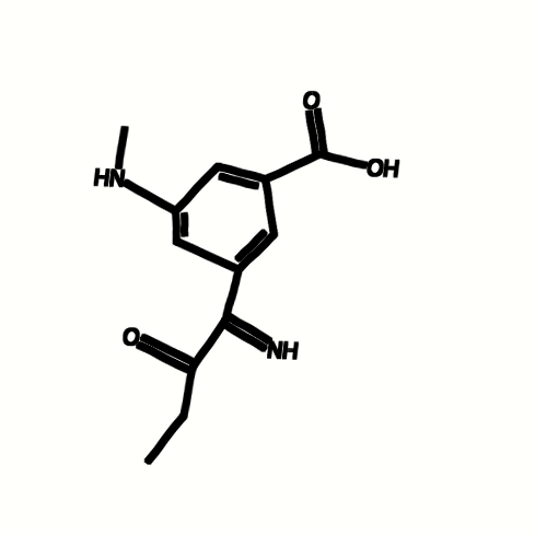 CCC(=O)C(=N)c1cc(NC)cc(C(=O)O)c1